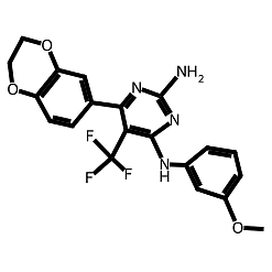 COc1cccc(Nc2nc(N)nc(-c3ccc4c(c3)OCCO4)c2C(F)(F)F)c1